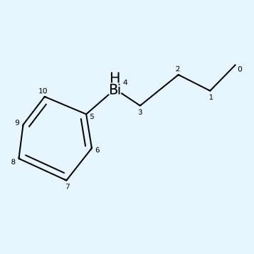 CCC[CH2][BiH][c]1ccccc1